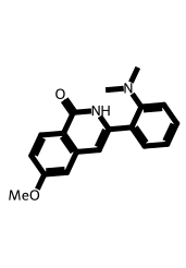 COc1ccc2c(=O)[nH]c(-c3ccccc3N(C)C)cc2c1